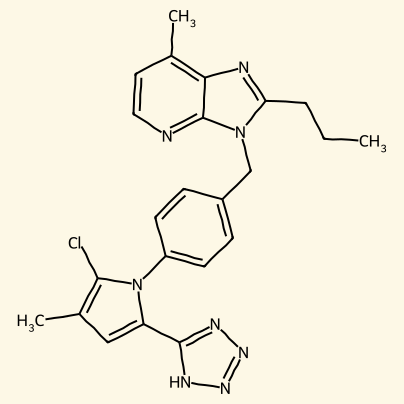 CCCc1nc2c(C)ccnc2n1Cc1ccc(-n2c(-c3nnn[nH]3)cc(C)c2Cl)cc1